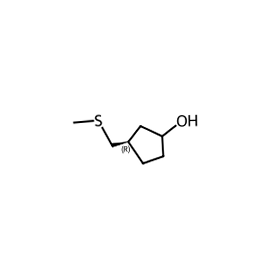 CSC[C@@H]1CCC(O)C1